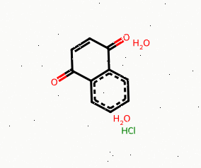 Cl.O.O.O=C1C=CC(=O)c2ccccc21